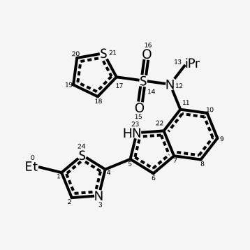 CCc1cnc(-c2cc3cccc(N(C(C)C)S(=O)(=O)c4cccs4)c3[nH]2)s1